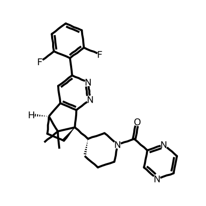 CC1(C)[C@H]2CC[C@]1([C@H]1CCCN(C(=O)c3cnccn3)C1)c1nnc(-c3c(F)cccc3F)cc12